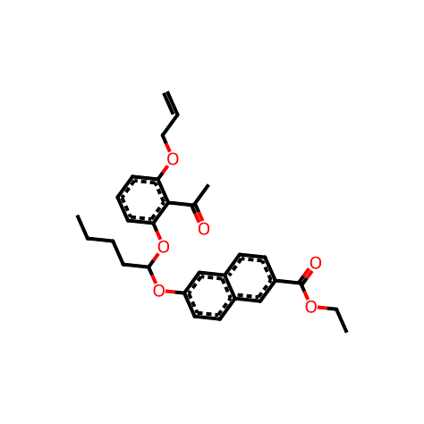 C=CCOc1cccc(OC(CCCC)Oc2ccc3cc(C(=O)OCC)ccc3c2)c1C(C)=O